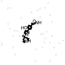 CNC(=O)/C=C(\C)c1ccc(-c2ccc(N(C)C3CC(C)(C)NC(C)(C)C3)nn2)c(O)c1